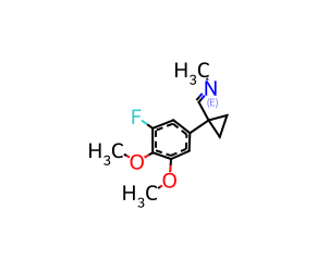 C/N=C/C1(c2cc(F)c(OC)c(OC)c2)CC1